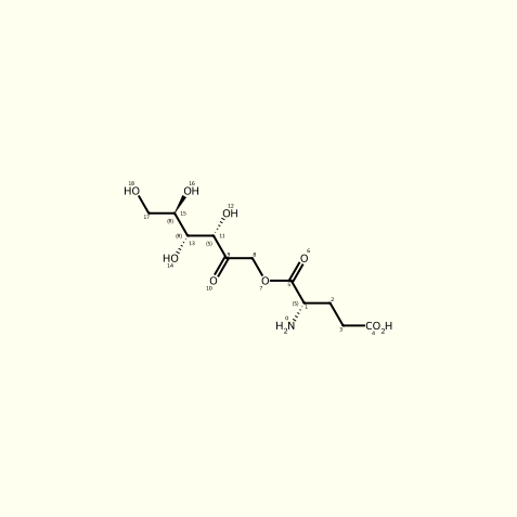 N[C@@H](CCC(=O)O)C(=O)OCC(=O)[C@@H](O)[C@H](O)[C@H](O)CO